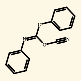 N#COC(=Nc1ccccc1)Oc1ccccc1